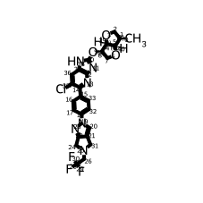 C[C@@H]1CO[C@H]2[C@@H]1OC[C@H]2Oc1nc2nc(-c3ccc(-n4cc5c(n4)CN(CC(F)(F)F)C5)cc3)c(Cl)cc2[nH]1